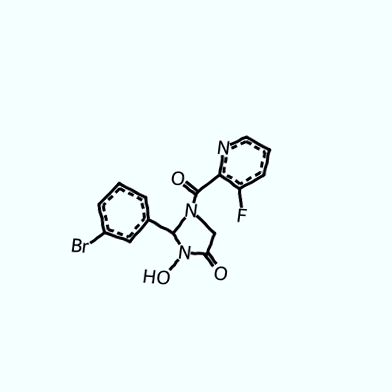 O=C1CN(C(=O)c2ncccc2F)C(c2cccc(Br)c2)N1O